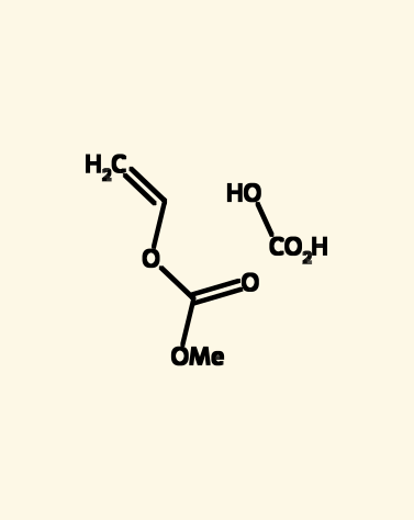 C=COC(=O)OC.O=C(O)O